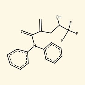 C=C(CC(O)C(F)(F)F)C(=O)N(c1ccccc1)c1ccccc1